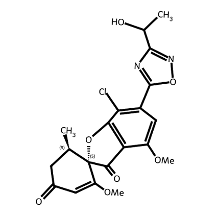 COC1=CC(=O)C[C@@H](C)[C@]12Oc1c(Cl)c(-c3nc(C(C)O)no3)cc(OC)c1C2=O